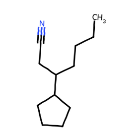 CCCCC(CC#N)C1CCCC1